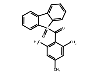 Cc1cc(C)c(C(=O)P2(=O)c3ccccc3-c3ccccc32)c(C)c1